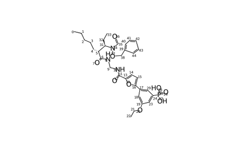 CCCCC[C@@H](C(=O)NCNC(=O)c1ccc(-c2cc(OCC)cc(P(=O)(O)O)c2)o1)[C@@H](CC)N(C=O)OCc1ccccc1